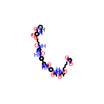 COc1cc2c(cc1OCCCC(=O)Nc1cc(C(=O)Nc3ccc(-c4cc(C(=O)Nc5ccc(NC(=O)C(C)NC(=O)C(NC(=O)CCCCCN6C(=O)C=CC6=O)C(C)C)cc5)n(C)c4)cc3)n(C)c1)N=C[C@@H]1CCCCN1C2=O